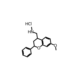 CNCC1CC(c2ccccc2)Oc2cc(OC)ccc21.Cl